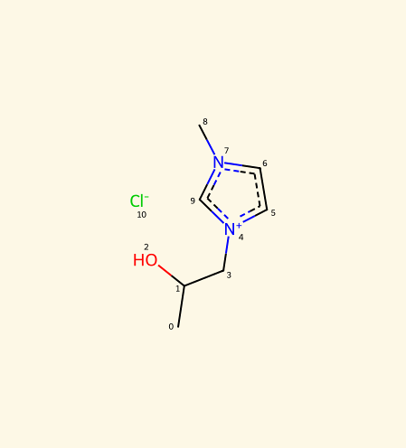 CC(O)C[n+]1ccn(C)c1.[Cl-]